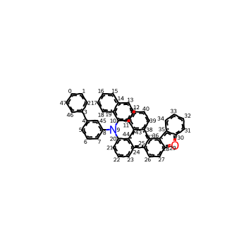 c1ccc(-c2cccc(N(c3cccc4ccccc34)c3cccc4c5ccc6oc7ccccc7c6c5c5ccccc5c34)c2)cc1